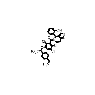 NCC1CCC(C(Oc2cc(Cl)c(Cl)c(C(=O)N3CCc4nocc4C3c3ccccc3O)c2Cl)C(=O)O)CC1